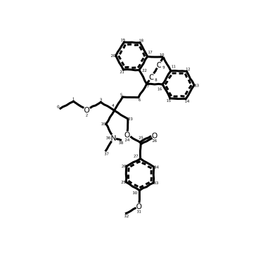 CCOCC(CCC12CCC(c3ccccc31)c1ccccc12)(COC(=O)c1ccc(OC)cc1)CN(C)C